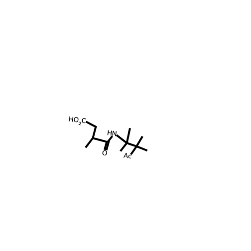 CC(=O)C(C)(C)C(C)(C)NC(=O)C(C)CC(=O)O